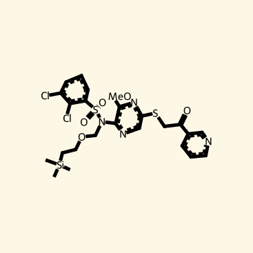 COc1nc(SCC(=O)c2cccnc2)cnc1N(COCC[Si](C)(C)C)S(=O)(=O)c1cccc(Cl)c1Cl